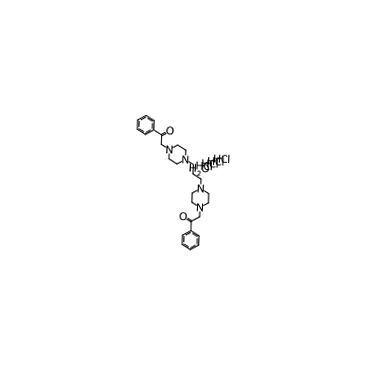 Cl.Cl.Cl.Cl.O.O=C(CN1CCN(CCCN2CCN(CC(=O)c3ccccc3)CC2)CC1)c1ccccc1